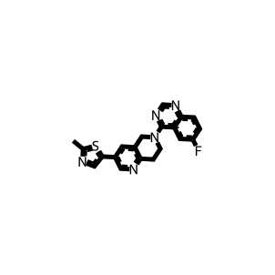 Cc1ncc(-c2cnc3c(c2)CN(c2ncnc4ccc(F)cc24)CC3)s1